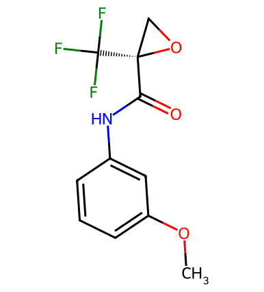 COc1cccc(NC(=O)[C@@]2(C(F)(F)F)CO2)c1